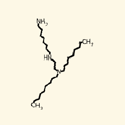 CCCCCCCCCN(CCCCCCCCC)CCNCCCCCCCCN